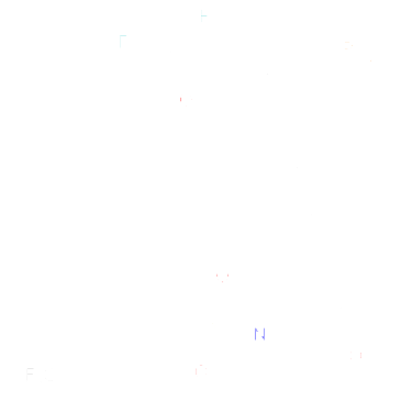 O=S(=O)(c1cccc(C(F)(F)F)c1)N1CCOc2ccc(-c3cc(P)cc(OC(F)F)c3)cc21